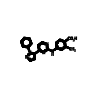 Cc1cc(Nc2nccc(-c3ccnn3-c3ccccc3)n2)ccc1C(=O)O